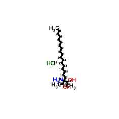 CCCCCCCCCCCCCCCCCCC(N)(C(C)O)C(C)O.Cl